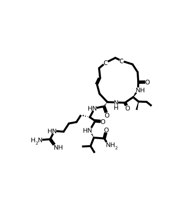 CC[C@@H](C)[C@@H]1NC(=O)CCCCCC/C=C/C[C@@H](C(=O)N[C@@H](CCCCNC(=N)N)C(=O)N[C@H](C(N)=O)C(C)C)NC1=O